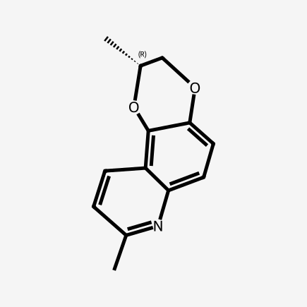 Cc1ccc2c3c(ccc2n1)OC[C@@H](C)O3